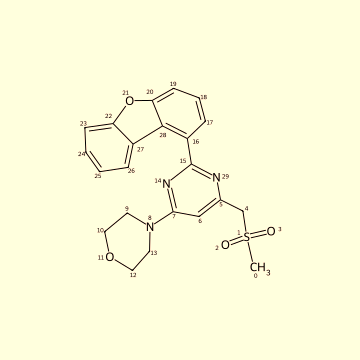 CS(=O)(=O)Cc1cc(N2CCOCC2)nc(-c2cccc3oc4ccccc4c23)n1